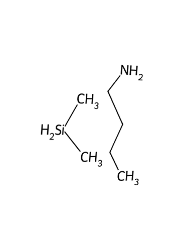 CCCCN.C[SiH2]C